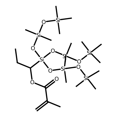 C=C(C)C(=O)OC(CC)[Si](O[Si](C)(C)O[Si](C)(C)C)(O[Si](C)(C)O[Si](C)(C)C)O[Si](C)(C)O[Si](C)(C)C